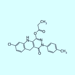 CCC(=O)Oc1nn(-c2ccc(C)cc2)c(=O)c2c1Nc1cc(Cl)ccc1C2